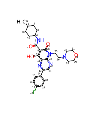 C[C@H]1CC[C@@H](NC(=O)c2c(O)c3nc(-c4ccc(F)cc4)cnc3n(CCN3CCOCC3)c2=O)CC1